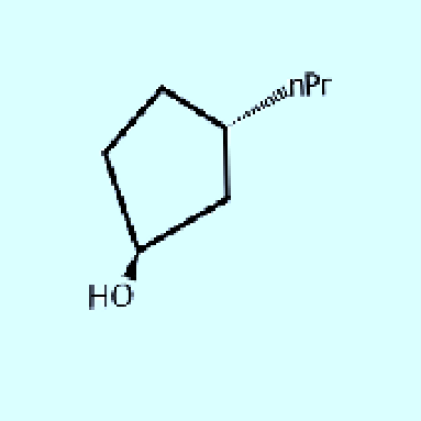 CCC[C@H]1CC[C@H](O)C1